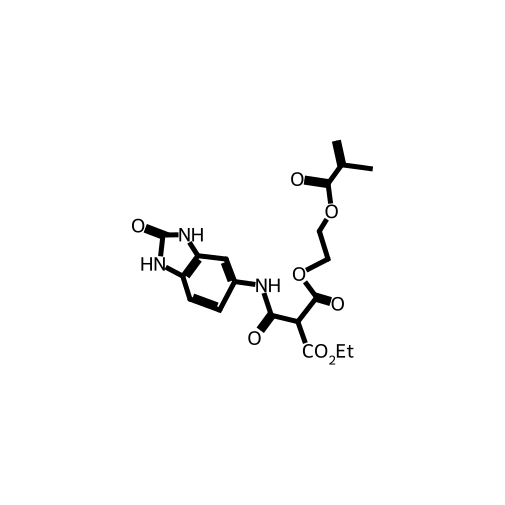 C=C(C)C(=O)OCCOC(=O)C(C(=O)Nc1ccc2[nH]c(=O)[nH]c2c1)C(=O)OCC